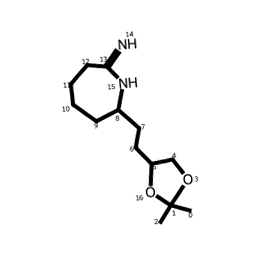 CC1(C)OCC(CCC2CCCCC(=N)N2)O1